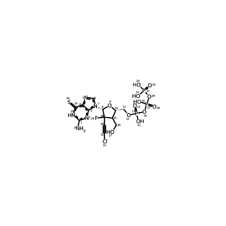 Nc1nc2c(ncn2[C@@H]2O[C@H](COP(=O)(O)OP(=O)(O)OP(=O)(O)O)C(CO)C2(F)C#CCl)c(=S)[nH]1